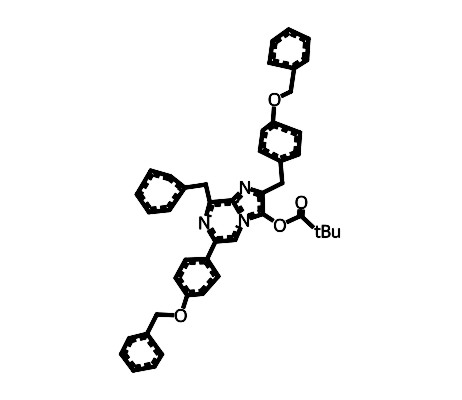 CC(C)(C)C(=O)Oc1c(Cc2ccc(OCc3ccccc3)cc2)nc2c(Cc3ccccc3)nc(-c3ccc(OCc4ccccc4)cc3)cn12